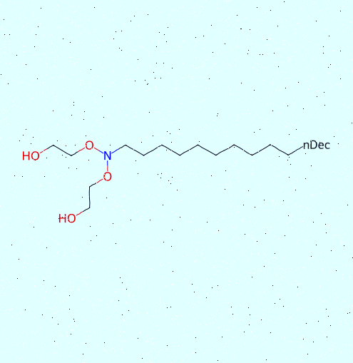 CCCCCCCCCCCCCCCCCCCCN(OCCO)OCCO